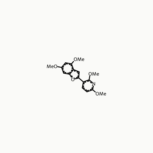 COc1cc(OC)c2cc(-c3ccc(OC)nc3OC)oc2c1